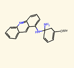 COC1=CC=CC(N)(Nc2cccc3nc4ccccc4cc23)C1